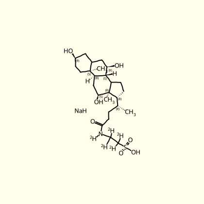 [2H]N(C(=O)CC[C@@H](C)[C@H]1CCC2[C@H]3[C@H](O)CC4C[C@H](O)CC[C@]4(C)[C@@H]3C[C@H](O)[C@@]21C)C([2H])([2H])C([2H])([2H])S(=O)(=O)O.[NaH]